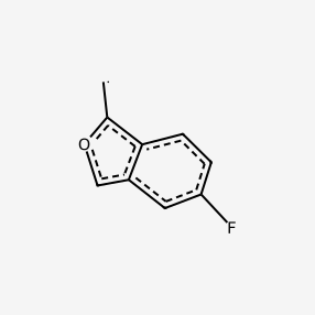 [CH2]c1occ2cc(F)ccc12